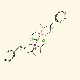 CC(C)[PH](C/C=C/c1ccccc1)(C(C)C)[Ni]([Cl])([Cl])[PH](C/C=C/c1ccccc1)(C(C)C)C(C)C